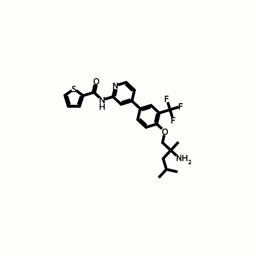 CC(C)CC(C)(N)COc1ccc(-c2ccnc(NC(=O)c3cccs3)c2)cc1C(F)(F)F